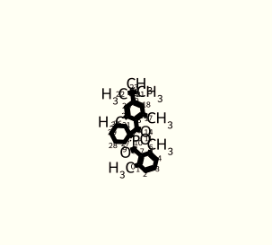 Cc1cccc(C)c1C(=O)[P](=O)C1(C(=O)c2c(C)cc(C(C)(C)C)cc2C)CCCCC1